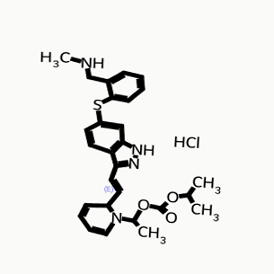 CNCc1ccccc1Sc1ccc2c(/C=C/C3C=CC=CN3C(C)OC(=O)OC(C)C)n[nH]c2c1.Cl